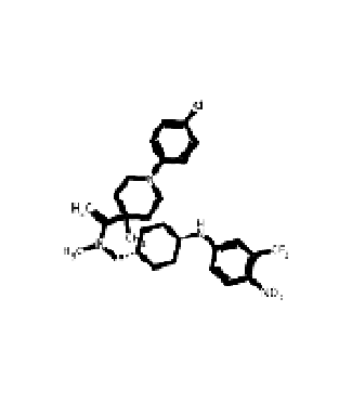 C=C(N(C)C[C@H]1CC[C@H](Nc2ccc([N+](=O)[O-])c(C(F)(F)F)c2)CC1)C1(C)CCN(c2ccc(Cl)cc2)CC1